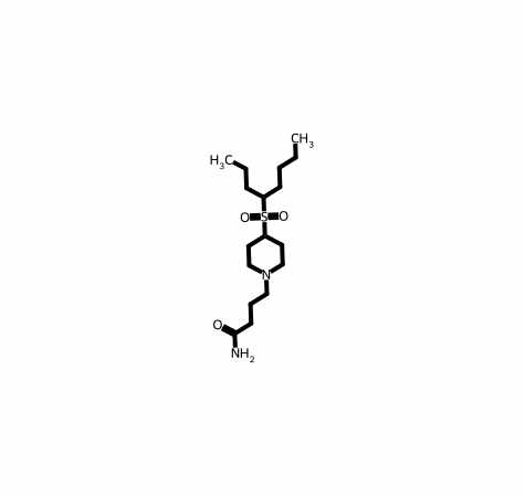 CCCCC(CCC)S(=O)(=O)C1CCN(CCCC(N)=O)CC1